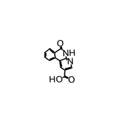 O=C(O)c1cnc2[nH]c(=O)c3ccccc3c2c1